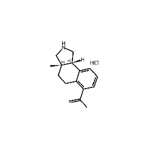 C=C(C)c1cccc2c1CC[C@]1(C)CNC[C@H]21.Cl